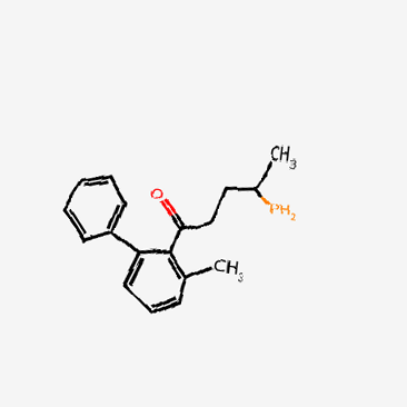 Cc1cccc(-c2ccccc2)c1C(=O)CCC(C)P